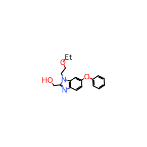 CCOCCn1c(CO)nc2ccc(Oc3ccccc3)cc21